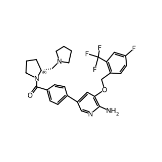 Nc1ncc(-c2ccc(C(=O)N3CCC[C@@H]3CN3CCCC3)cc2)cc1OCc1ccc(F)cc1C(F)(F)F